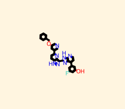 Oc1cc(F)cc(-c2ccnc3[nH]c(-c4n[nH]c5ccc(-c6cncc(OCc7ccccc7)c6)nc45)nc23)c1